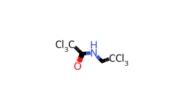 O=C(NCC(Cl)(Cl)Cl)C(Cl)(Cl)Cl